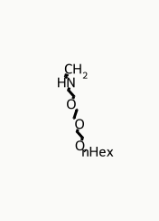 C=CNCCOCCOCCOCCCCCC